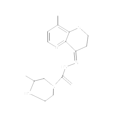 CC1CN(C(=S)N/N=C2/CCNc3c(Cl)ccnc32)CCN1